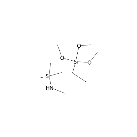 CC[Si](OC)(OC)OC.CN[Si](C)(C)C